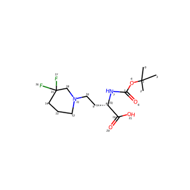 CC(C)(C)OC(=O)N[C@@H](CCN1CCCC(F)(F)C1)C(=O)O